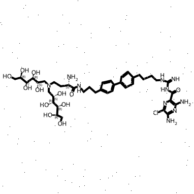 N=C(NCCCCc1ccc(-c2ccc(CCCNC(=O)[C@@H](N)CCN(C[C@H](O)[C@@H](O)[C@H](O)[C@H](O)CO)C[C@H](O)[C@@H](O)[C@H](O)[C@H](O)CO)cc2)cc1)NC(=O)c1nc(Cl)c(N)nc1N